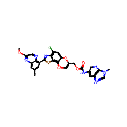 COc1cnc2c(-c3nc4c(Cl)cc5c(c4s3)OC[C@H](COC(=O)Nc3cnc4c(c3)ncn4C)O5)cc(C)cc2n1